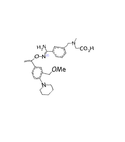 C=C(O/N=C(\N)c1cccc(CN(C)CC(=O)O)c1)c1ccc(N2CCCCC2)c(COC)c1